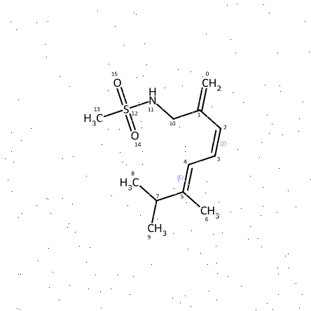 C=C(/C=C\C=C(/C)C(C)C)CNS(C)(=O)=O